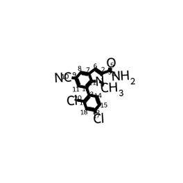 Cn1c(C(N)=O)cc2cc(C#N)cc(-c3ccc(Cl)cc3Cl)c21